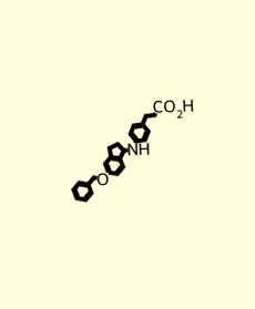 O=C(O)CCc1ccc(NC2CCc3cc(OCc4ccccc4)ccc32)cc1